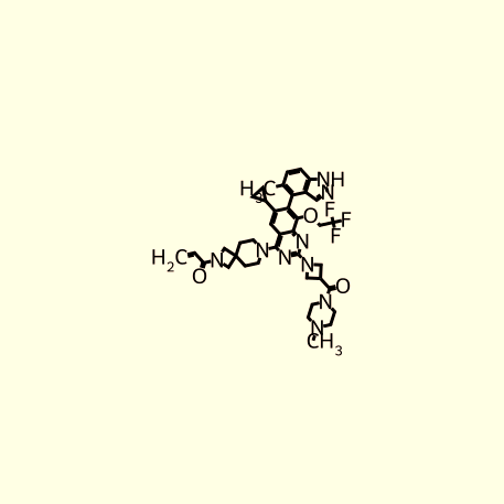 C=CC(=O)N1CC2(CCN(c3nc(N4CC(C(=O)N5CCN(C)CC5)C4)nc4c(OCC(F)(F)F)c(-c5c(C)ccc6[nH]ncc56)c(C5CC5)cc34)CC2)C1